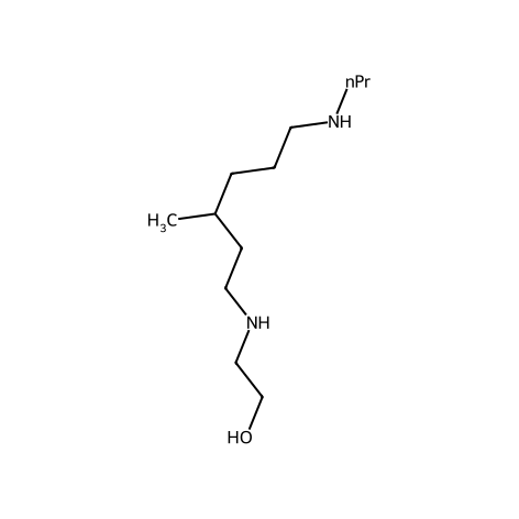 CCCNCCCC(C)CCNCCO